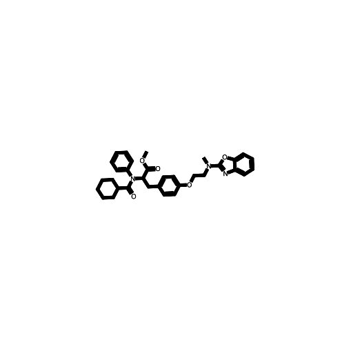 COC(=O)C(Cc1ccc(OCCN(C)c2nc3ccccc3o2)cc1)N(C(=O)C1CCCCC1)c1ccccc1